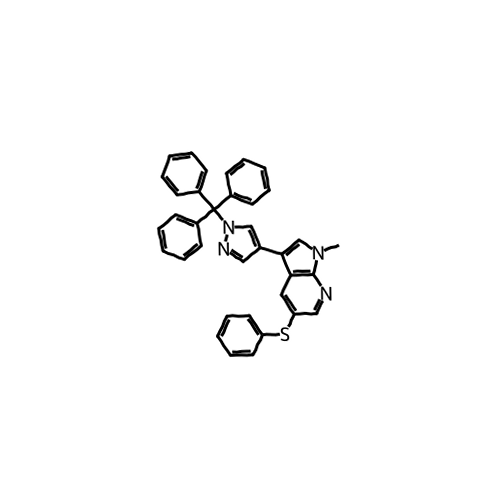 Cn1cc(-c2cnn(C(c3ccccc3)(c3ccccc3)c3ccccc3)c2)c2cc(Sc3ccccc3)cnc21